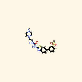 CN1CCN(CCNC(=O)Nc2nc3ccc(-c4cccc(S(C)(=O)=O)c4)cc3s2)CC1